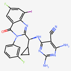 N#Cc1c(N)nc(N)nc1N[C@H](c1nc2c(I)cc(F)cc2c(=O)n1-c1cccc(F)c1)C1CC1